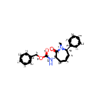 CN1C(=O)[C@@H](NC(=O)OCc2ccccc2)CC=C[C@@H]1c1ccccc1